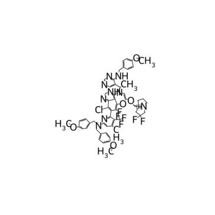 COc1ccc(CNc2ncncc2C(C)N2C=C(OC[C@@]34CCCN3CC(F)(F)C4)Oc3c(F)c(-c4nc(N(Cc5ccc(OC)cc5)Cc5ccc(OC)cc5)cc(C)c4C(F)(F)F)c(Cl)c4c3=C2NCN=4)cc1